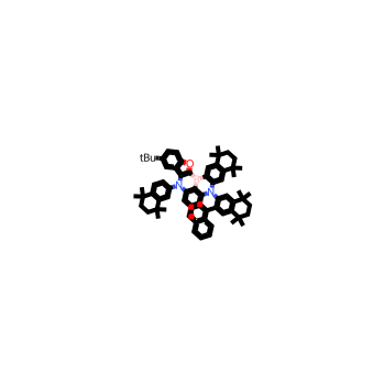 Cc1cc2c3c(c1)N(c1ccc4c(c1)C(C)(C)CCC4(C)C)c1c(oc4ccc(C(C)(C)C)cc14)B3c1cc3c(cc1N2c1cc2c(cc1-c1cccc4ccccc14)C(C)(C)CCC2(C)C)C(C)(C)CCC3(C)C